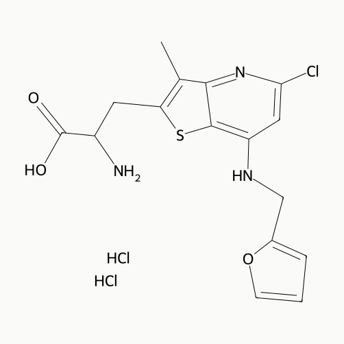 Cc1c(CC(N)C(=O)O)sc2c(NCc3ccco3)cc(Cl)nc12.Cl.Cl